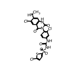 CNc1cc2[nH]c(=O)n(-c3ccc(NC(=O)NS(=O)(=O)c4ccc(Cl)s4)cc3Cl)c(=O)c2cc1Cl